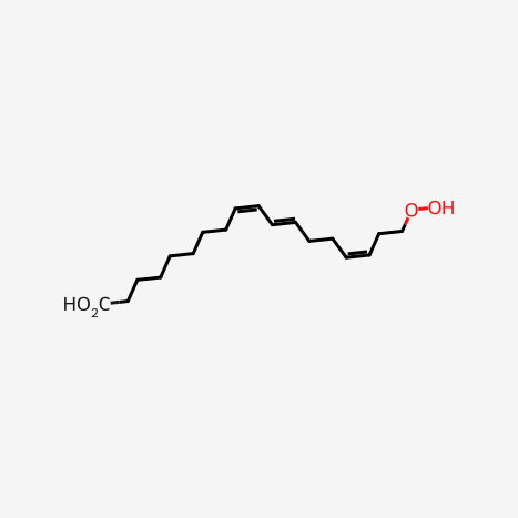 O=C(O)CCCCCCC/C=C\C=CCC/C=C\CCOO